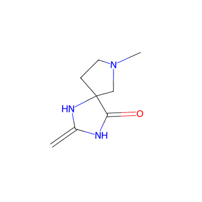 C=C1NC(=O)C2(CCN(C)C2)N1